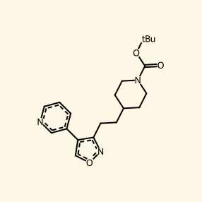 CC(C)(C)OC(=O)N1CCC(CCc2nocc2-c2cccnc2)CC1